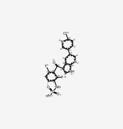 CCCS(=O)(=O)Nc1ccc(F)c(C(=O)c2c[nH]c3ncc(-c4ccc(Cl)nc4)cc23)c1F